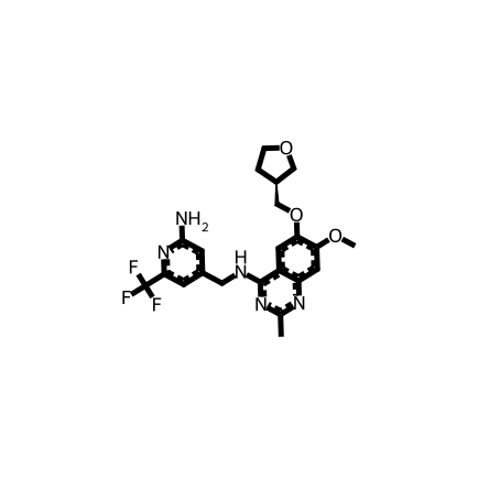 COc1cc2nc(C)nc(NCc3cc(N)nc(C(F)(F)F)c3)c2cc1OC[C@H]1CCOC1